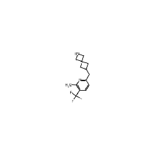 Cc1nc(CC2CC3(CNC3)C2)ccc1C(F)(F)F